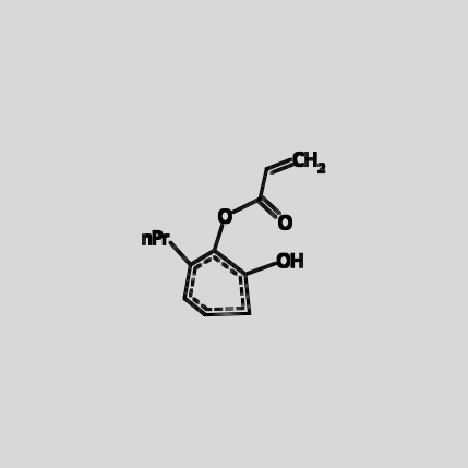 C=CC(=O)Oc1c(O)cccc1CCC